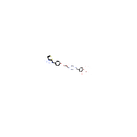 COc1cc(CCN2CCN(CC(O)COc3ccc(-c4n[nH]c5ccsc45)cc3)CC2)cc(OC)c1OC